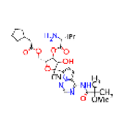 COC(C)(C)C(=O)Nc1ncnn2c([C@]3(C#N)O[C@H](COC(=O)CC4CCCC4)[C@@H](OC(=O)[C@H](N)C(C)C)[C@H]3O)ccc12